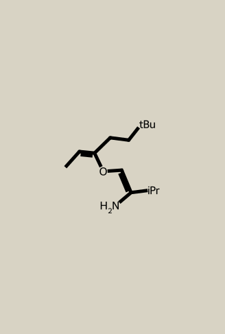 C/C=C(/CCC(C)(C)C)O/C=C(\N)C(C)C